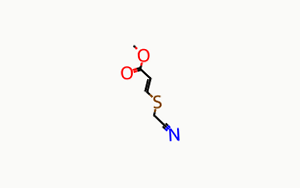 COC(=O)/C=C/SCC#N